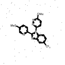 COc1ccc(-n2c(-c3ccc(SC)cn3)nc3cc(C(F)(F)F)ccc32)nn1